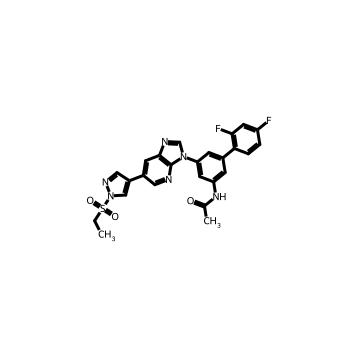 CCS(=O)(=O)n1cc(-c2cnc3c(c2)ncn3-c2cc(NC(C)=O)cc(-c3ccc(F)cc3F)c2)cn1